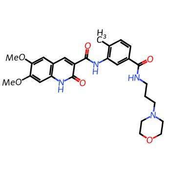 COc1cc2cc(C(=O)Nc3cc(C(=O)NCCCN4CCOCC4)ccc3C)c(=O)[nH]c2cc1OC